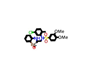 COc1ccc(S(=O)(=O)N(CC(=C=O)Nc2ccccc2Br)c2cc(Cl)ccc2C)cc1OC